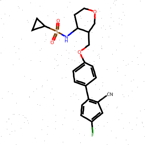 N#Cc1cc(F)ccc1-c1ccc(OCC2COCCC2NS(=O)(=O)C2CC2)cc1